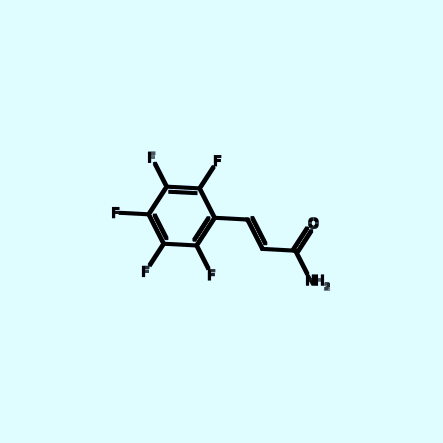 NC(=O)C=Cc1c(F)c(F)c(F)c(F)c1F